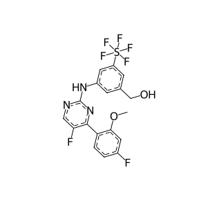 COc1cc(F)ccc1-c1nc(Nc2cc(CO)cc(S(F)(F)(F)(F)F)c2)ncc1F